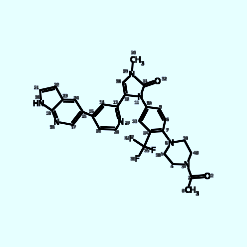 CC(=O)N1CCN(c2ccc(-n3c(-c4cc(-c5cnc6[nH]ccc6c5)ccn4)cn(C)c3=O)cc2C(F)(F)F)CC1